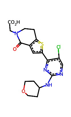 O=C(O)CN1CCc2sc(-c3nc(NC4CCOCC4)ncc3Cl)cc2C1=O